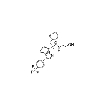 CC(Cc1ccccc1)(C(=O)NCCO)c1ccnc2c(-c3ccc(C(F)(F)F)cc3)cnn12